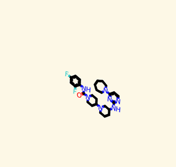 O=C(Nc1ccc(F)cc1F)N1CCC(N2CCCC(Nc3nccc(N4CCCCCC4)n3)C2)CC1